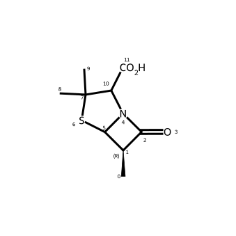 C[C@@H]1C(=O)N2C1SC(C)(C)C2C(=O)O